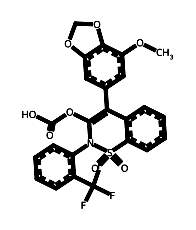 COc1cc(C2=C(OC(=O)O)N(c3ccccc3C(F)(F)F)S(=O)(=O)c3ccccc32)cc2c1OCO2